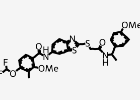 COc1ccc(C(C)NC(=O)CSc2nc3ccc(NC(=O)c4ccc(OC(F)F)c(C)c4OC)cc3s2)cc1